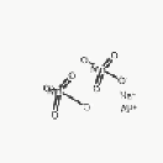 [Al+3].[Na+].[O]=[Mn](=[O])([O-])[O-].[O]=[Mn](=[O])([O-])[O-]